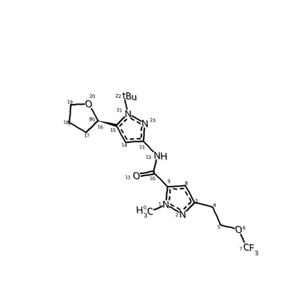 Cn1nc(CCOC(F)(F)F)cc1C(=O)Nc1cc([C@H]2C[CH]CO2)n(C(C)(C)C)n1